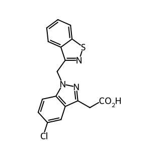 O=C(O)Cc1nn(Cc2nsc3ccccc23)c2ccc(Cl)cc12